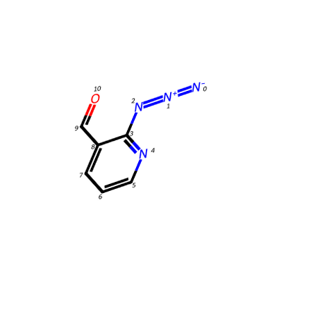 [N-]=[N+]=Nc1ncccc1C=O